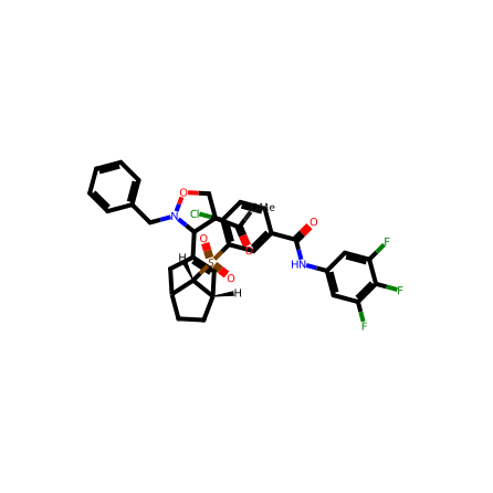 COC(=O)C1CON(Cc2ccccc2)C1C1=C[C@@H]2CCC(C1)[C@@H]2S(=O)(=O)c1cc(C(=O)Nc2cc(F)c(F)c(F)c2)ccc1Cl